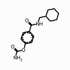 NC(=O)Oc1ccc(C(=O)NCC2CCCCC2)cc1